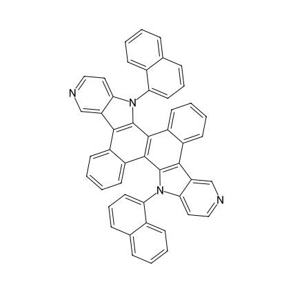 c1ccc2c(-n3c4ccncc4c4c5ccccc5c5c(c6ccccc6c6c7cnccc7n(-c7cccc8ccccc78)c65)c43)cccc2c1